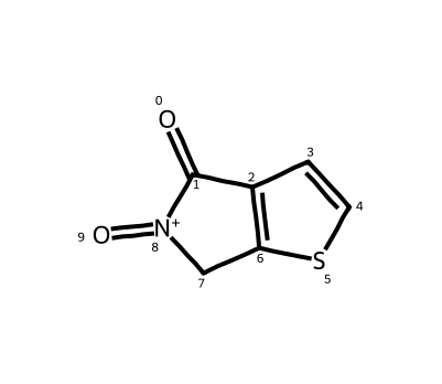 O=C1c2ccsc2C[N+]1=O